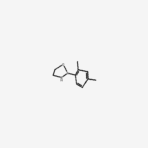 Cc1ccc(N2BCCO2)c(C)c1